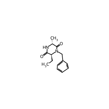 CC[C@H]1C(=O)N[C@H](C)C(=O)N1Cc1ccccc1